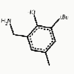 Cc1cc(CN)c(O)c(C(C)(C)C)c1